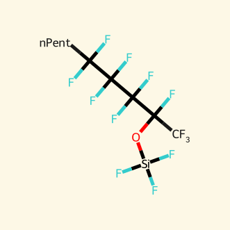 CCCCCC(F)(F)C(F)(F)C(F)(F)C(F)(O[Si](F)(F)F)C(F)(F)F